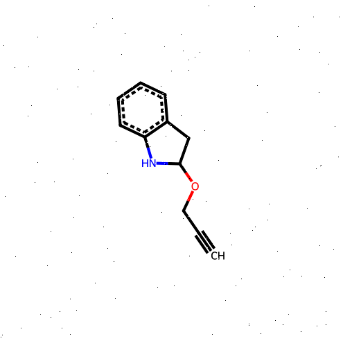 C#CCOC1Cc2ccccc2N1